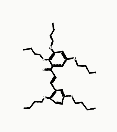 CCCCOc1ccc(OCCCC)c(/C=C/C(=O)c2cc(OCCCC)cc(OCCCC)c2OCCCC)c1